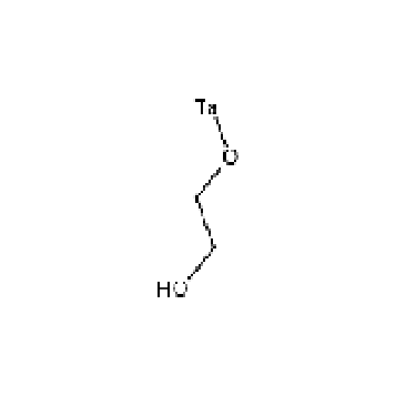 OCC[O][Ta]